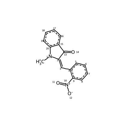 CN1/C(=C/c2ccccc2[N+](=O)[O-])C(=O)c2ccccc21